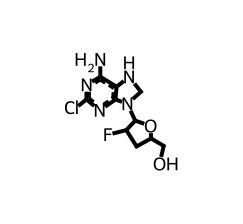 Nc1nc(Cl)nc2c1NCN2C1OC(CO)CC1F